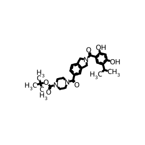 CC(C)c1cc(C(=O)N2Cc3ccc(C(=O)N4CCN(C(=O)OC(C)(C)C)CC4)cc3C2)c(O)cc1O